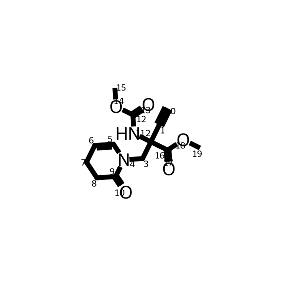 C#CC(CN1C=CCCC1=O)(NC(=O)OC)C(=O)OC